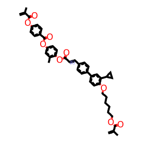 C=C(C)C(=O)OCCCCCCOc1ccc(-c2ccc(/C=C/C(=O)Oc3ccc(OC(=O)c4ccc(OC(=O)C(=C)C)cc4)cc3C)cc2)cc1C1CC1